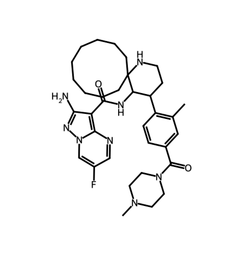 Cc1cc(C(=O)N2CCN(C)CC2)ccc1C1CCNC2(CCCCCCCCC2)C1NC(=O)c1c(N)nn2cc(F)cnc12